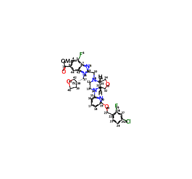 COC(=O)c1cc(F)c2nc(CN3CCN(c4cccc(OCc5ccc(Cl)cc5F)n4)[C@H]4COC[C@H]43)n(C[C@@H]3CCOC3)c2c1